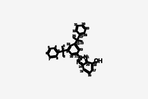 CC(C)(c1ccccc1)c1cc(-n2nc3cccc(O)c3n2)cc(C(C)(C)c2ccccc2)c1